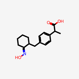 CC(C(=O)O)c1ccc(CC2CCCCC2=NO)cc1